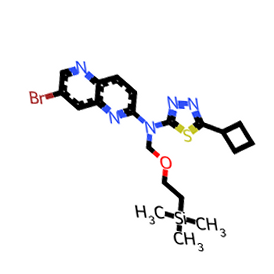 C[Si](C)(C)CCOCN(c1ccc2ncc(Br)cc2n1)c1nnc(C2CCC2)s1